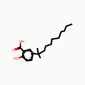 CCCCCCCCCC(C)(C)c1ccc(O)c(C(=O)O)c1